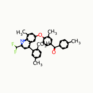 Cc1ccc(C(=O)c2ccc(Oc3cc(C)c4nc(C(F)F)cc(-c5cc(C)ccc5C(=O)O)c4c3)c(C)c2)cc1